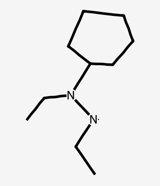 CC[N]N(CC)C1CCCCC1